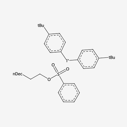 CC(C)(C)c1ccc([I+]c2ccc(C(C)(C)C)cc2)cc1.CCCCCCCCCCCCOS(=O)(=O)c1ccccc1